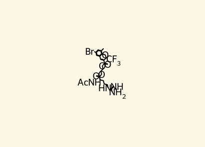 CC(=O)N[C@@H](CCCNC(=N)N)C(=O)OCCOC(=O)C1=Cc2cc(Br)cc(C)c2OC1C(F)(F)F